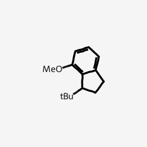 COc1cccc2c1C(C(C)(C)C)CC2